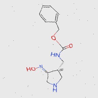 O=C(NC[C@@H]1CNCC1=NO)OCc1ccccc1